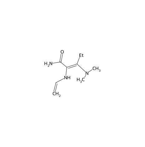 C=CN/C(C(N)=O)=C(/CC)N(C)C